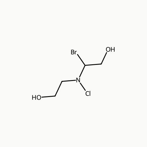 OCCN(Cl)C(Br)CO